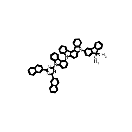 CC1(C)c2ccccc2-c2cc(-n3c4c(c5c6c7ccccc7n(-c7cccc8c7c7ccccc7n8-c7nc(-c8ccc9ccccc9c8)nc(-c8ccc9ccccc9c8)n7)c6ccc53)C=CCC4)ccc21